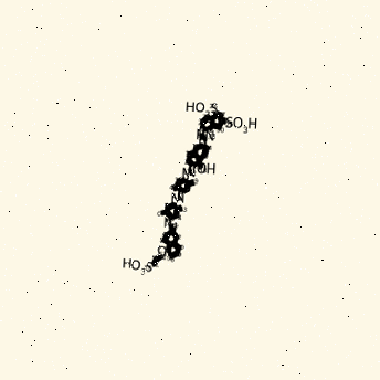 Cc1cc(N=Nc2cc(C)c(N=Nc3ccc4cc(-n5nc6ccc7c(S(=O)(=O)O)cc(S(=O)(=O)O)cc7c6n5)ccc4c3O)cc2C)c(C)cc1N=Nc1ccc2c(OCCCS(=O)(=O)O)cccc2c1